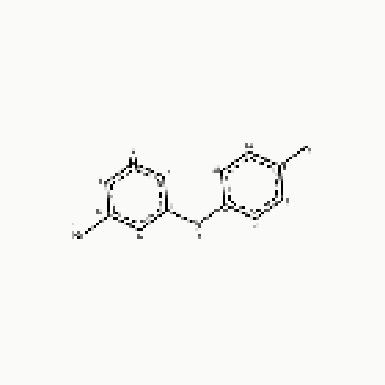 Cc1ccc(Sc2cncc(Br)c2)cc1